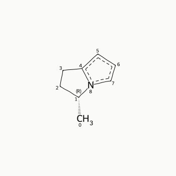 C[C@@H]1CCc2cccn21